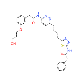 O=C(Cc1cccc(OCCCO)c1)Nc1ccc(CCCCc2nnc(NC(=O)Cc3ccccc3)s2)nn1